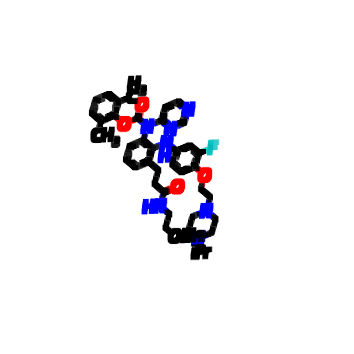 COCCNC(=O)CCc1cccc(N(C(=O)Oc2c(C)cccc2C)c2ccncn2)c1Nc1ccc(OCCN2CCN(C(C)C)CC2)c(F)c1